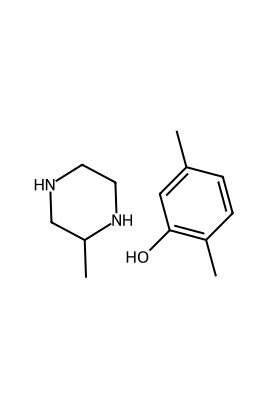 CC1CNCCN1.Cc1ccc(C)c(O)c1